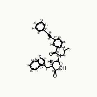 CCCN(C(=O)NC(Cc1csc2ccccc12)C(=O)O)C(=O)c1cccc(C#Cc2ccccc2)c1